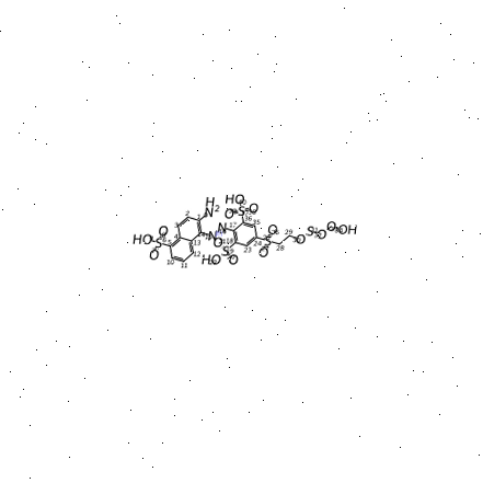 Nc1ccc2c(S(=O)(=O)O)cccc2c1/N=N/c1c(S(=O)(=O)O)cc(S(=O)(=O)CCOSOOO)cc1S(=O)(=O)O